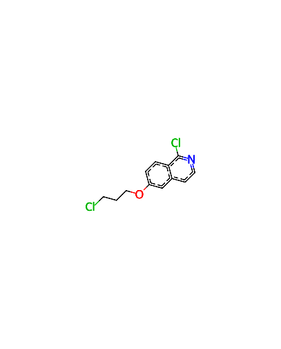 ClCCCOc1ccc2c(Cl)nccc2c1